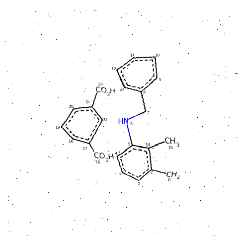 Cc1cccc(NCc2ccccc2)c1C.O=C(O)c1cccc(C(=O)O)c1